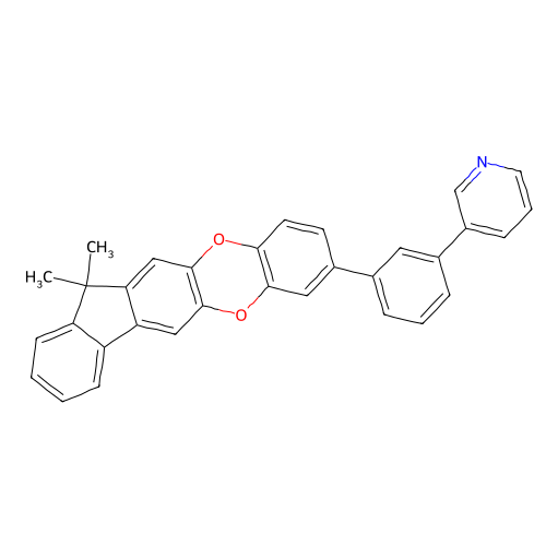 CC1(C)c2ccccc2-c2cc3c(cc21)Oc1ccc(-c2cccc(-c4cccnc4)c2)cc1O3